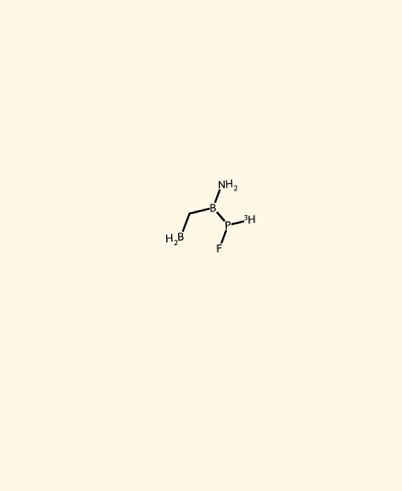 [3H]P(F)B(N)CB